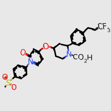 CS(=O)(=O)c1ccc(-n2ccc(OC3CCN(C(=O)O)C(c4ccc(CCC(F)(F)F)cc4)C3)cc2=O)cc1